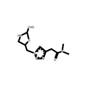 CN(C)C(=O)Cc1cn(CC2CNC(C=O)O2)nn1